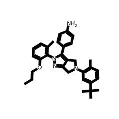 CCCOc1cccc(C)c1-n1nc2c(c1-c1ccc(N)cc1)CN(c1cc(C(C)(C)C)ccc1C)C2